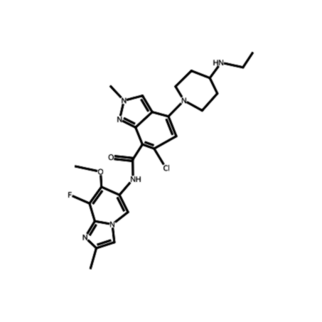 CCNC1CCN(c2cc(Cl)c(C(=O)Nc3cn4cc(C)nc4c(F)c3OC)c3nn(C)cc23)CC1